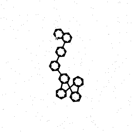 c1cc(-c2ccc(-c3cccc4cccnc34)cc2)cc(-c2ccc3c(c2)-c2ccccc2C32c3ccccc3-c3ccccc32)c1